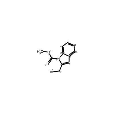 COC(=O)n1c(CBr)cc2ccccc21